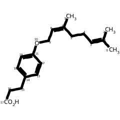 CC(C)=CCCC(C)=CCOc1ccc(CCC(=O)O)cc1